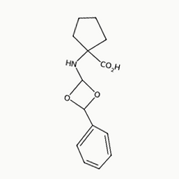 O=C(O)C1(NC2OC(c3ccccc3)O2)CCCC1